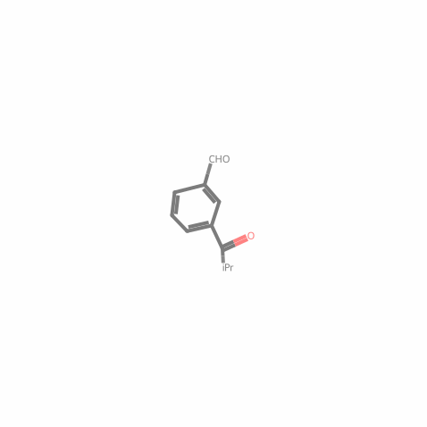 CC(C)C(=O)c1cccc(C=O)c1